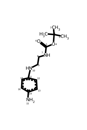 CC(C)(C)OC(=O)NCCNc1ccc(N)cc1